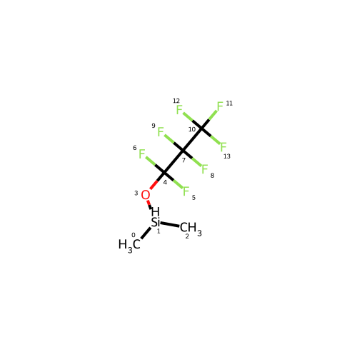 C[SiH](C)OC(F)(F)C(F)(F)C(F)(F)F